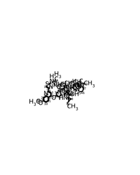 CCC1C[C@]1(NC(=O)[C@@H]1C[C@@H](Oc2cc(-c3csc(NC(C)C)n3)nc3cc(OC)ccc23)CN1C(=O)[C@@H](NC(=O)NC(CN1CCCN(C(C)C)S1(=O)=O)C(C)(C)C)C(C)(C)C)C(=O)O